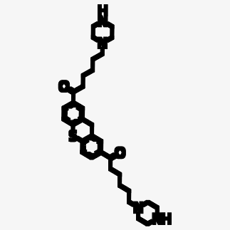 O=C(CCCCCN1CCNCC1)c1ccc2c(c1)Cc1cc(C(=O)CCCCCN3CCNCC3)ccc1S2